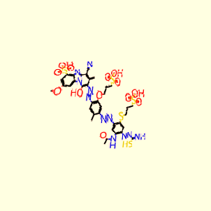 COc1cc(S(=O)(=O)O)c2nc3c(C#N)c(C)c(N=Nc4cc(C)c(N=Nc5cc(NC(C)=O)c(N=NC(=N)S)cc5SCCCS(=O)(=O)O)cc4OCCCS(=O)(=O)O)c(O)n3c2c1